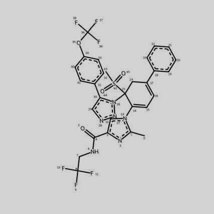 Cc1nc(C(=O)NCC(F)(F)F)cn1C1=CC=C(c2ccccc2)CC1(n1nncc1-c1ccc(OC(F)(F)F)cc1)S(C)(=O)=O